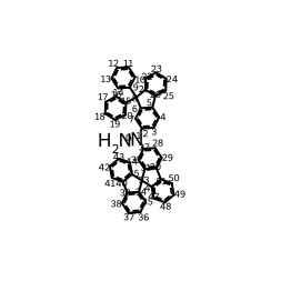 NN(c1ccc2c(c1)C(c1ccccc1)(c1ccccc1)c1ccccc1-2)c1ccc2c(c1)C1(c3ccccc3-c3ccccc31)c1ccccc1-2